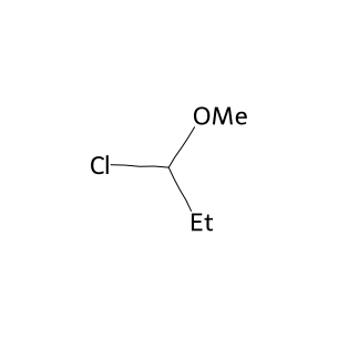 CCC(Cl)OC